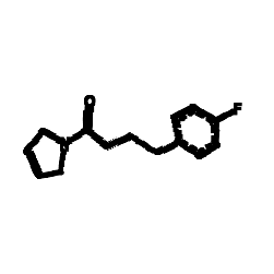 O=C(CCCc1ccc(F)cc1)N1CC=CC1